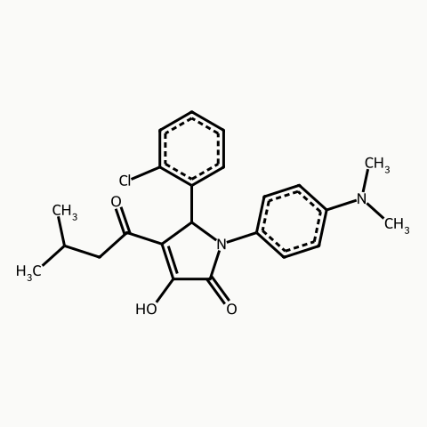 CC(C)CC(=O)C1=C(O)C(=O)N(c2ccc(N(C)C)cc2)C1c1ccccc1Cl